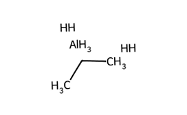 CCC.[AlH3].[HH].[HH]